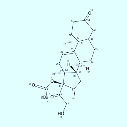 CCCCC(=O)O[C@]1(C(=O)CO)C(C)C[C@H]2[C@@H]3CCC4CC(=O)CC[C@]4(C)C3=CC[C@@]21C